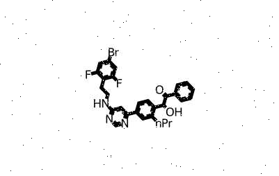 CCCc1cc(-c2cc(NCCc3c(F)cc(Br)cc3F)ncn2)ccc1C(O)C(=O)c1ccccc1